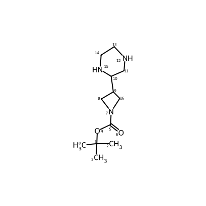 CC(C)(C)OC(=O)N1CC(C2CNCCN2)C1